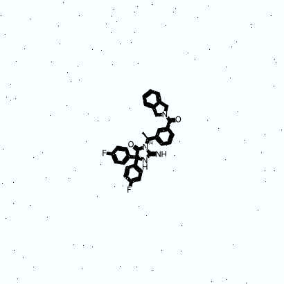 C[C@@H](c1cccc(C(=O)N2Cc3ccccc3C2)c1)N1C(=N)NC(c2ccc(F)cc2)(c2ccc(F)cc2)C1=O